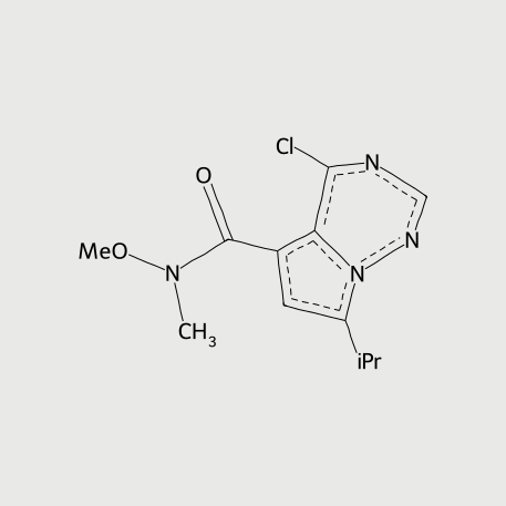 CON(C)C(=O)c1cc(C(C)C)n2ncnc(Cl)c12